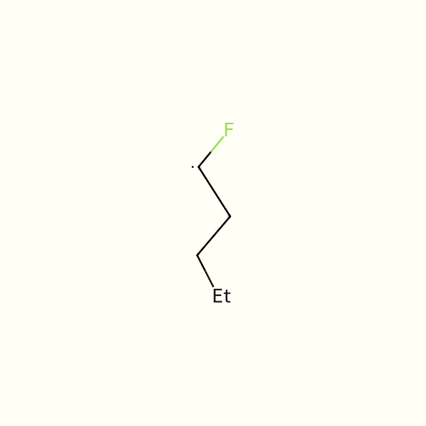 CCCC[CH]F